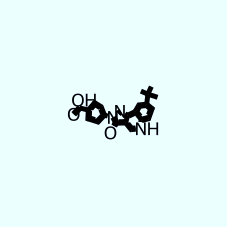 CC(C)(C)c1ccc2[nH]cc3c(=O)n(-c4ccc(C(=O)O)cc4)nc-3c2c1